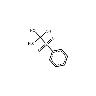 CC(O)(O)S(=O)(=O)c1ccccc1